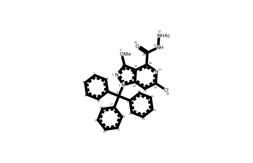 COc1nn(C(c2ccccc2)(c2ccccc2)c2ccccc2)c2cc(Cl)nc(C(=O)NNC(C)=O)c12